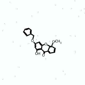 COc1cccc2c(=O)c3c(O)cc(OCc4ccccc4)cc3oc12